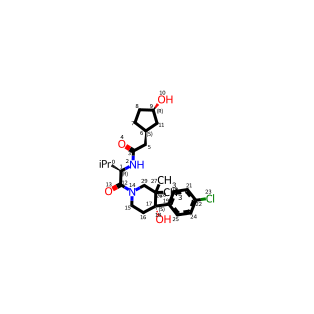 CC(C)[C@@H](NC(=O)C[C@H]1CC[C@@H](O)C1)C(=O)N1CC[C@](O)(c2ccc(Cl)cc2)C(C)(C)C1